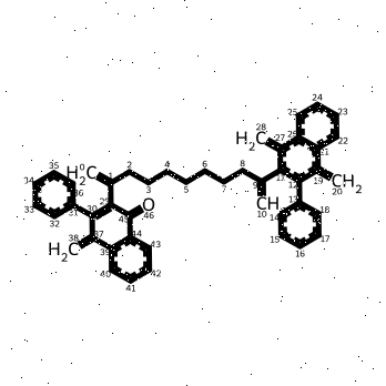 C=C(CCCCCCCC(=C)c1c(-c2ccccc2)c(=C)c2ccccc2c1=C)C1=C(c2ccccc2)C(=C)c2ccccc2C1=O